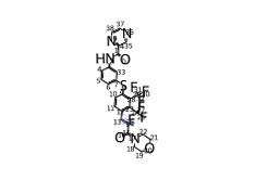 O=C(Nc1cccc(Sc2ccc(/C=C/C(=O)N3CCOCC3)c(C(F)(F)F)c2C(F)(F)F)c1)c1cnccn1